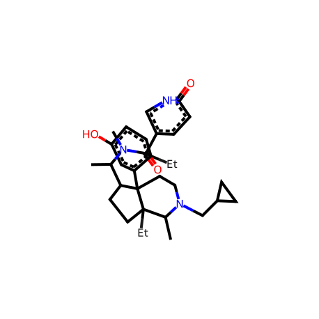 CCc1ccc(O)cc1C12CCN(CC3CC3)C(C)C1(CC)CCC2C(C)N(C)C(=O)c1ccc(=O)[nH]c1